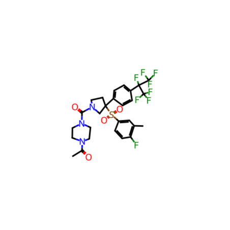 CC(=O)N1CCN(C(=O)N2CCC(c3ccc(C(F)(C(F)(F)F)C(F)(F)F)cc3)(S(=O)(=O)c3ccc(F)c(C)c3)C2)CC1